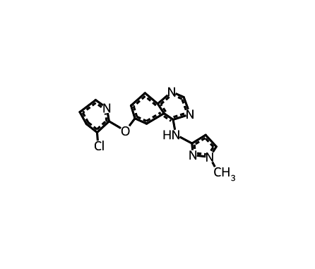 Cn1ccc(Nc2ncnc3ccc(Oc4ncccc4Cl)cc23)n1